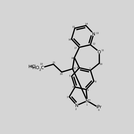 CC(C)[N+]12N=Cc3cc4c(cc31)COc1ncccc1C4C2CCC(=O)O.Cl